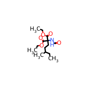 CCOC(=O)C(CCC(C)CC)(NC=O)C(=O)OCC